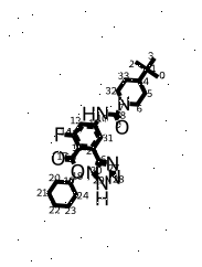 CC(C)(C)C1CCN(C(=O)Nc2cc(F)c(C(=O)OC3CCCCC3)c(-c3nn[nH]n3)c2)CC1